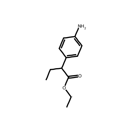 C[CH]OC(=O)C(CC)c1ccc(N)cc1